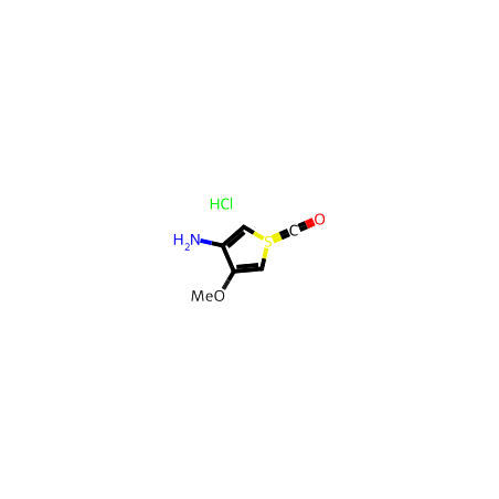 COC1=CS(=C=O)C=C1N.Cl